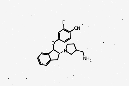 N#Cc1ccc(OC2c3ccccc3C[C@H]2N2CC[C@@H](CN)C2)cc1F